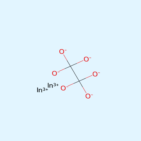 [In+3].[In+3].[O-]C([O-])([O-])C([O-])([O-])[O-]